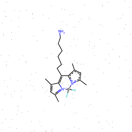 CC1=CC(C)=[N+]2C1=C(CCCCCCN)c1c(C)cc(C)n1[B-]2(F)F